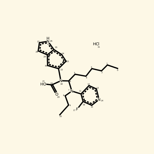 CCCCCCC(N(CCC)c1ccncc1F)N(C(=O)O)c1ccc2[nH]ccc2c1.Cl